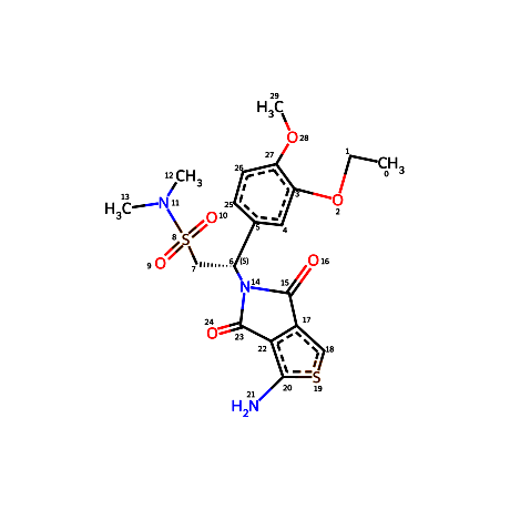 CCOc1cc([C@@H](CS(=O)(=O)N(C)C)N2C(=O)c3csc(N)c3C2=O)ccc1OC